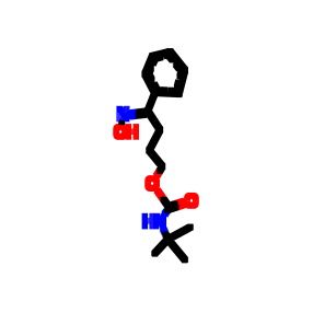 CC(C)(C)NC(=O)OCCC/C(=N\O)c1ccccc1